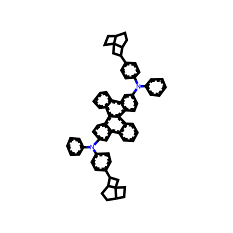 c1ccc(N(c2ccc(C3CC45CCC4CCC35)cc2)c2ccc3c(c2)c2ccccc2c2c4ccc(N(c5ccccc5)c5ccc(C6CC78CCC7CCC68)cc5)cc4c4ccccc4c32)cc1